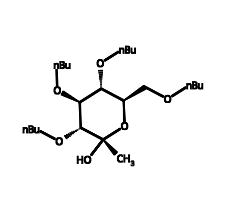 CCCCOC[C@H]1O[C@](C)(O)[C@H](OCCCC)[C@@H](OCCCC)[C@@H]1OCCCC